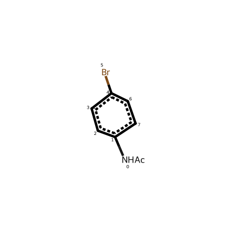 CC(=O)Nc1c[c]c(Br)cc1